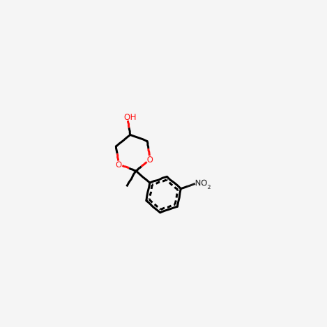 CC1(c2cccc([N+](=O)[O-])c2)OCC(O)CO1